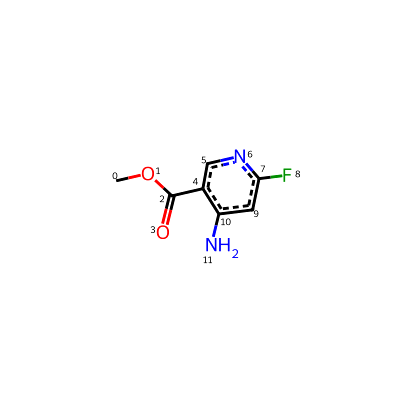 COC(=O)c1cnc(F)cc1N